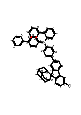 Clc1ccc2c(c1)-c1ccc(-c3ccc(N(c4ccc(-c5ccccc5)cc4)c4ccccc4-c4ccccc4)cc3)cc1C21C2CC3CC(C2)CC1C3